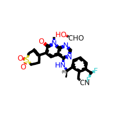 C[C@@H](Nc1ncnc2c1cc(C1=CCS(=O)(=O)CC1)c(=O)n2C)c1cccc(C(F)F)c1CC#N.O=CO